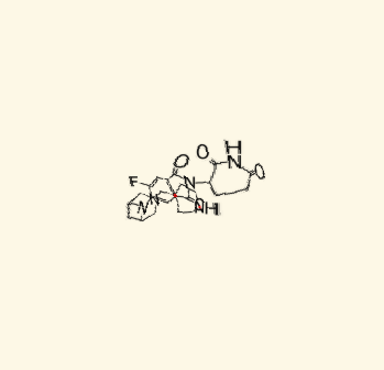 O=C1CCC(N2C(=O)c3cc(F)c(N4C5CC4CN(CC4CCNCC4)C5)cc3C2=O)C(=O)N1